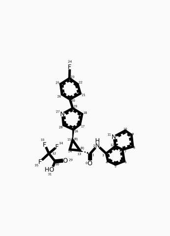 O=C(Nc1cccc2cccnc12)[C@@H]1C[C@H]1c1ccc(-c2ccc(F)cc2)nc1.O=C(O)C(F)(F)F